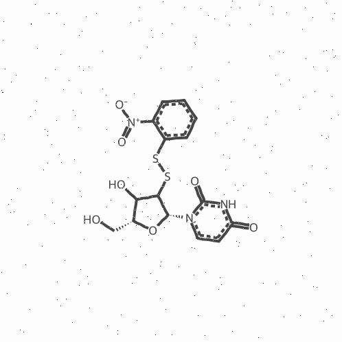 O=c1ccn([C@@H]2O[C@H](CO)C(O)C2SSc2ccccc2[N+](=O)[O-])c(=O)[nH]1